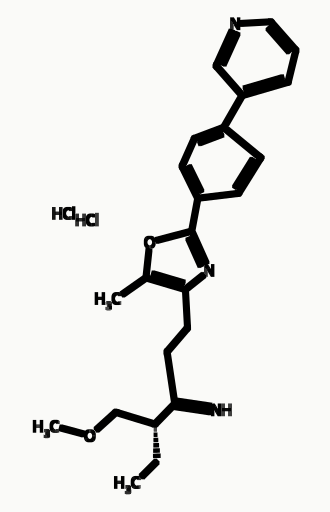 CC[C@H](COC)C(=N)CCc1nc(-c2ccc(-c3cccnc3)cc2)oc1C.Cl.Cl